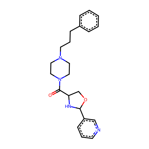 O=C(C1COC(c2cccnc2)N1)N1CCN(CCCc2ccccc2)CC1